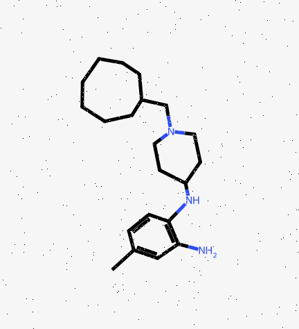 Cc1ccc(NC2CCN(CC3CCCCCCC3)CC2)c(N)c1